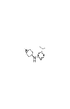 CC(C)c1ccnc(NC2CCN(C)CC2)c1